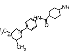 CC1C[C@@H](C)CN(c2ccc(NC(=O)C3CCC(N)CC3)cc2)C1